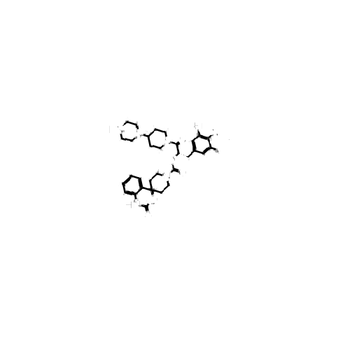 CCc1cc(C[C@@H](OC(=O)N2CCC3(CC2)OC(=O)Nc2ccccc23)C(=O)N2CCC(N3CCNCC3)CC2)cc(Cl)c1N